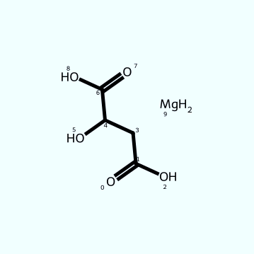 O=C(O)CC(O)C(=O)O.[MgH2]